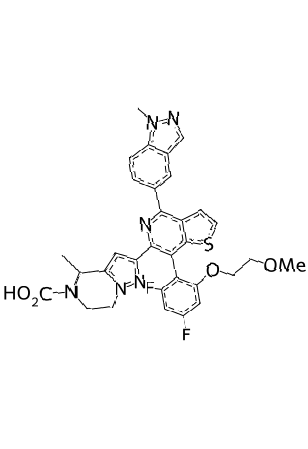 COCCOc1cc(F)cc(F)c1-c1c(-c2cc3n(n2)CCN(C(=O)O)C3C)nc(-c2ccc3c(cnn3C)c2)c2ccsc12